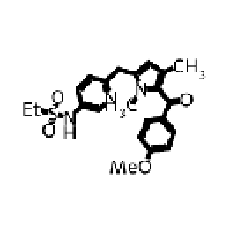 CCS(=O)(=O)Nc1ccc(Cc2cc(C)c(C(=O)c3ccc(OC)cc3)n2C)nc1